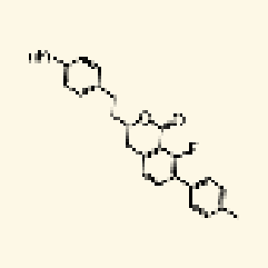 CCCc1ccc(CCC2Cc3ccc(-c4ccc(C)cc4)c(F)c3C(=O)O2)cc1